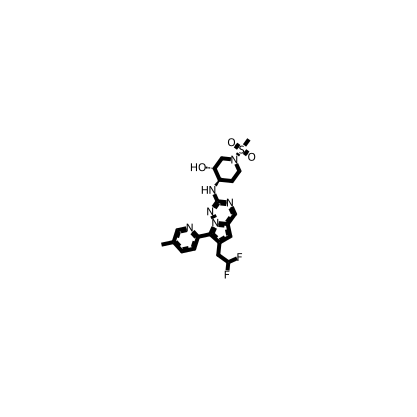 Cc1ccc(-c2c(CC(F)F)cc3cnc(N[C@@H]4CCN(S(C)(=O)=O)C[C@H]4O)nn23)nc1